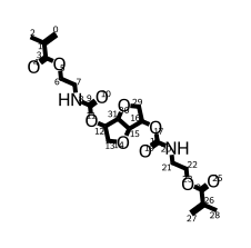 C=C(C)C(=O)OCCNC(=O)OC1COC2C(OC(=O)NCCOC(=O)C(=C)C)COC12